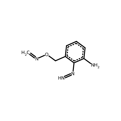 C=NOCc1cccc(N)c1N=N